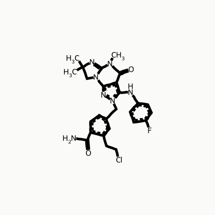 CN1C(=O)c2c(nn(Cc3ccc(C(N)=O)c(CCCl)c3)c2Nc2ccc(F)cc2)N2CC(C)(C)N=C12